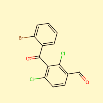 O=[C]c1ccc(Cl)c(C(=O)c2ccccc2Br)c1Cl